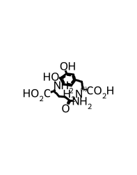 NC(=O)CCC(N)C(=O)O.N[C@@H](Cc1ccc(O)c(O)c1)C(=O)O